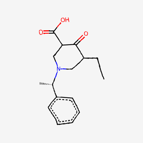 CCC1CN([C@@H](C)c2ccccc2)CC(C(=O)O)C1=O